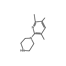 Cc1cc(C)c(N2CCNCC2)nc1C